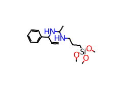 C=CC(NC(C)NCCC[Si](OC)(OC)OC)c1ccccc1